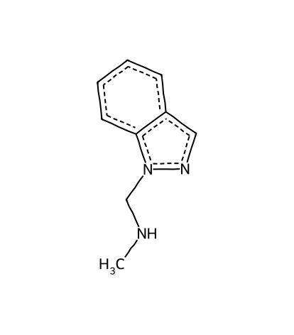 CNCn1ncc2ccccc21